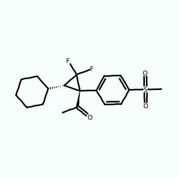 CC(=O)[C@@]1(c2ccc(S(C)(=O)=O)cc2)[C@H](C2CCCCC2)C1(F)F